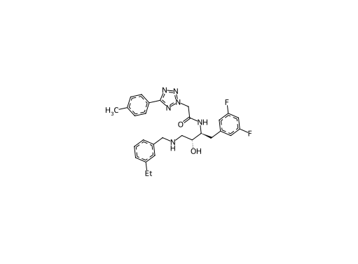 CCc1cccc(CNC[C@@H](O)[C@H](Cc2cc(F)cc(F)c2)NC(=O)Cn2nnc(-c3ccc(C)cc3)n2)c1